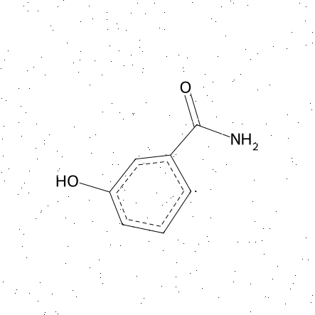 NC(=O)c1[c]ccc(O)c1